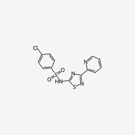 O=S(=O)(Nc1nc(-c2ccccn2)ns1)c1ccc(Cl)cc1